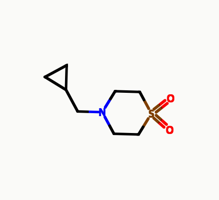 O=S1(=O)CCN(CC2CC2)CC1